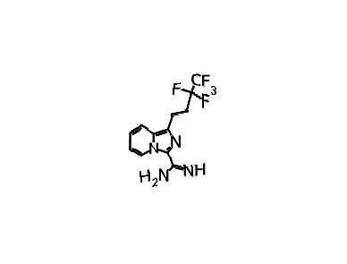 N=C(N)c1nc(CCC(F)(F)C(F)(F)F)c2ccccn12